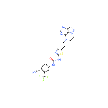 N#Cc1ccc(NC(=O)Nc2ncc(CCN3CCn4ncc5ncnc3c54)s2)cc1C(F)(F)F